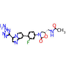 CC(=O)NC[C@H]1CN(c2ccc(-c3ccn4c(-c5nnn(N)n5)cnc4c3)c(F)c2)C(=O)O1